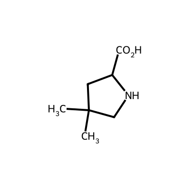 CC1(C)CNC(C(=O)O)C1